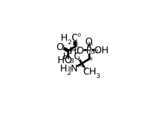 C=CC(=O)O.CC(C)(N)CP(=O)(O)O